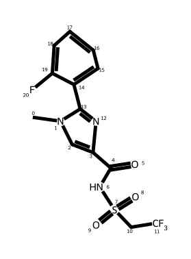 Cn1cc(C(=O)NS(=O)(=O)CC(F)(F)F)nc1-c1ccccc1F